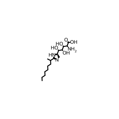 CCCCCCCC(C)c1ncc(C(O)C(O)C(O)C(N)C(=O)O)[nH]1